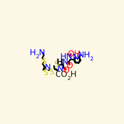 NCCSCc1csc(SC2=C(C(=O)O)N3C(=O)[C@@H](NC(=O)C(NO)c4cccc(N)n4)[C@@H]3SC2)n1